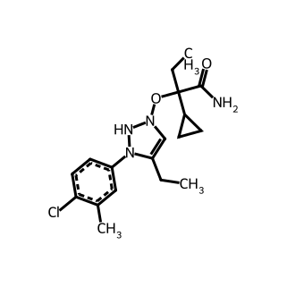 CCC1=CN(OC(CC)(C(N)=O)C2CC2)NN1c1ccc(Cl)c(C)c1